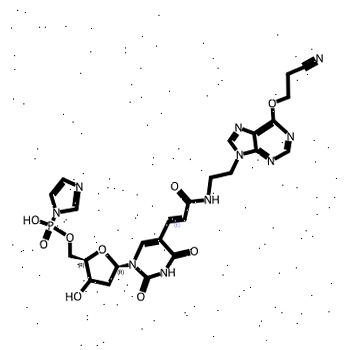 N#CCCOc1ncnc2c1ncn2CCNC(=O)/C=C/c1cn([C@H]2CC(O)[C@@H](COP(=O)(O)n3ccnc3)O2)c(=O)[nH]c1=O